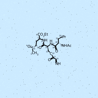 CCOC(=O)C(CC[S+](C)[O-])NC(=O)[C@H](CCC(=O)C=N)NC(=O)[C@H](CC(C)C)NC(C)=O